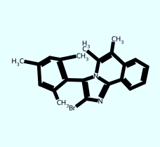 Cc1cc(C)c(-c2c(Br)nc3c4ccccc4c(C)c(C)n23)c(C)c1